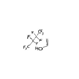 C=CO.FC(F)(F)C(F)(F)C(F)(F)C(F)(F)F